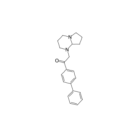 O=C(CN1CCCN2CCCC21)c1ccc(-c2ccccc2)cc1